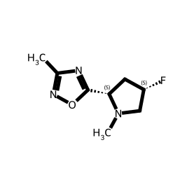 Cc1noc([C@@H]2C[C@H](F)CN2C)n1